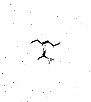 CC(=O)O.CCC=CCC